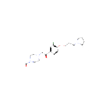 CC(=O)N1CCN(CC(=O)c2ccc(OCCCN3CCC[C@H]3C)c(Cl)c2)CC1